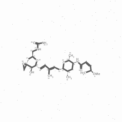 CO[C@@H](C)/C=C\C(=O)N[C@@H]1C[C@H](C)[C@H](C/C=C(C)/C=C/[C@H]2O[C@H](CNC(N)=O)C[C@@]3(CO3)[C@@H]2O)O[C@@H]1C